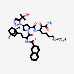 CC(C)(O)c1cnnn1[C@H]1C[C@@H](C(=O)NC(CCCCNC(=O)O)C(=O)C(N)=O)N(C(=O)C(CCC2C[C@@H]3CC[C@H]2C3)NC(=O)c2ccc3ccccc3c2)C1